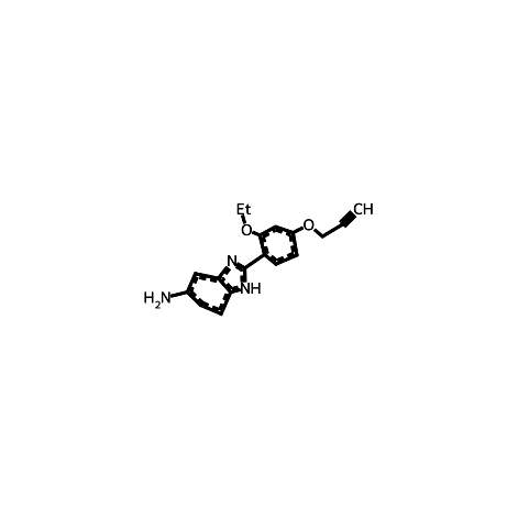 C#CCOc1ccc(-c2nc3cc(N)ccc3[nH]2)c(OCC)c1